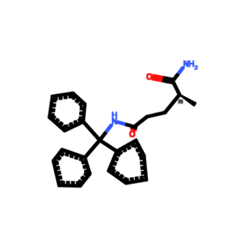 C[C@@H](CCC(=O)NC(c1ccccc1)(c1ccccc1)c1ccccc1)C(N)=O